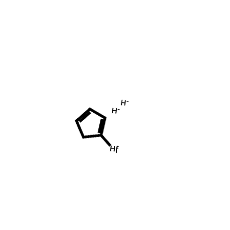 [H-].[H-].[Hf][C]1=CC=CC1